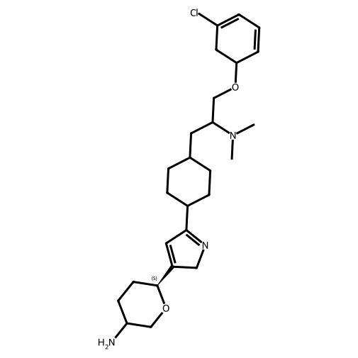 CN(C)C(COC1C=CC=C(Cl)C1)CC1CCC(C2=NCC([C@@H]3CCC(N)CO3)=C2)CC1